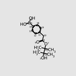 CC(C)(O)C(C)(C)OC(=O)Cc1ccc(B(O)O)cc1